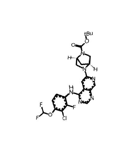 CC(C)(C)OC(=O)N1C[C@@H]2C[C@H]1CN2c1cc2c(Nc3ccc(OC(F)F)c(Cl)c3F)ncnc2cn1